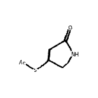 CC(=O)SC1CNC(=O)C1